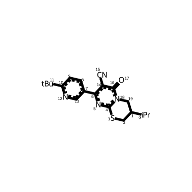 CC(C)C1CSc2nc(-c3ccc(C(C)(C)C)nc3)c(C#N)c(=O)n2C1